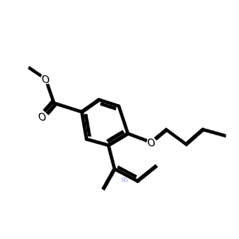 C/C=C(/C)c1cc(C(=O)OC)ccc1OCCCC